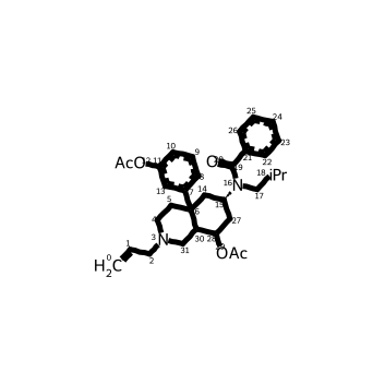 C=CCN1CCC2(c3cccc(OC(C)=O)c3)C[C@H](N(CC(C)C)C(=O)c3ccccc3)CC(OC(C)=O)C2C1